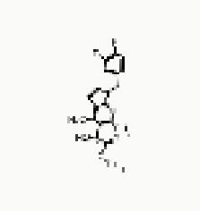 COC(=O)[C@@H](O)c1c(C)nc2c(ccn2Cc2ccc(F)c(F)c2)c1C